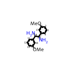 COc1cccc([C@@H](N)[C@@H](N)c2cccc(OC)c2)c1